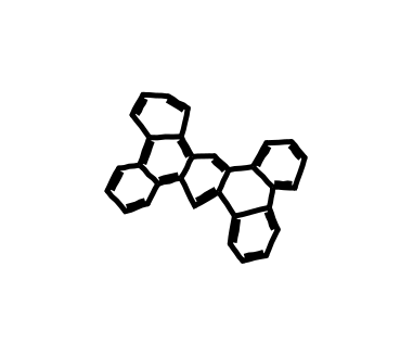 c1ccc2c(c1)c1ccccc1c1cc3c4ccccc4c4ccccc4c3cc21